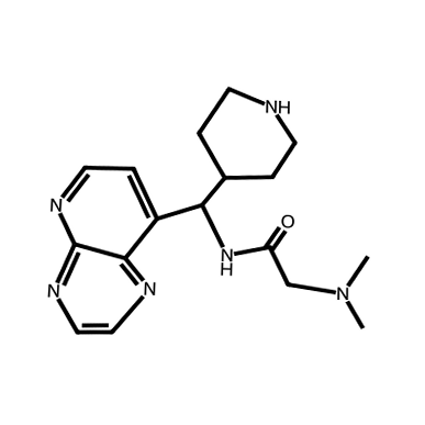 CN(C)CC(=O)NC(c1ccnc2nccnc12)C1CCNCC1